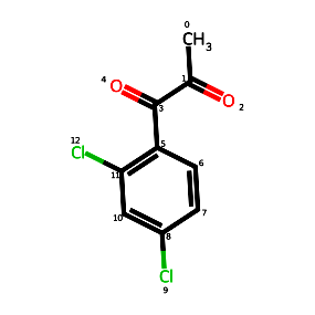 CC(=O)C(=O)c1ccc(Cl)cc1Cl